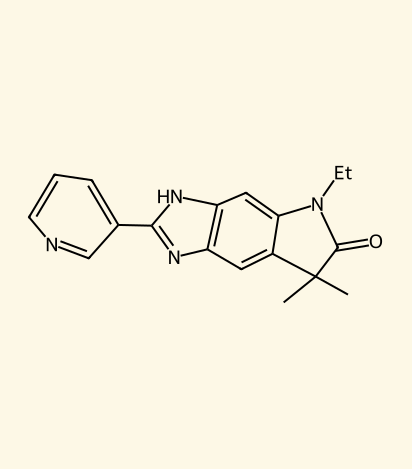 CCN1C(=O)C(C)(C)c2cc3nc(-c4cccnc4)[nH]c3cc21